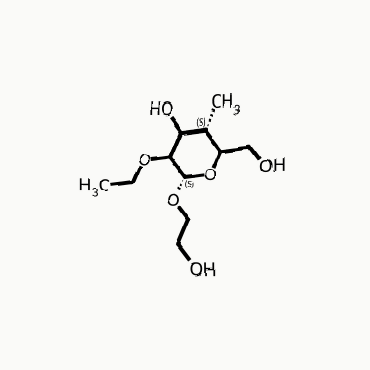 CCOC1C(O)[C@H](C)C(CO)O[C@@H]1OCCO